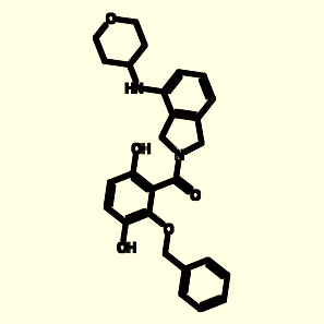 O=C(c1c(O)ccc(O)c1OCc1ccccc1)N1Cc2cccc(NC3CCOCC3)c2C1